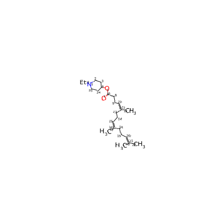 CCN1CCC(OC(=O)CCC=C(C)CCC=C(C)CCC=C(C)C)CC1